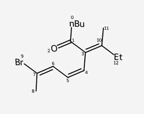 CCCCC(=O)C(/C=C\C=C(/C)Br)=C(\C)CC